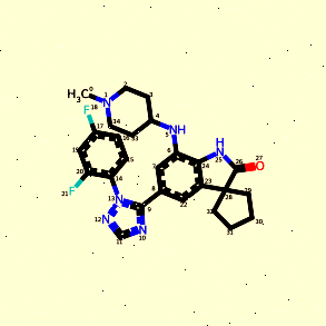 CN1CCC(Nc2cc(-c3ncnn3-c3ccc(F)cc3F)cc3c2NC(=O)C32CCCC2)CC1